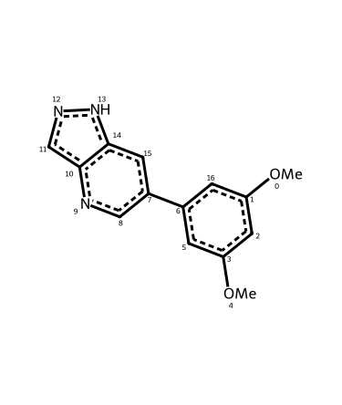 COc1cc(OC)cc(-c2cnc3cn[nH]c3c2)c1